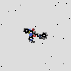 CC(=O)N1CCC[C@@H](C(=O)N[C@@H](CCCCN(Cc2ccccc2)C(=O)O)C(=O)c2nc3ccccc3s2)C1